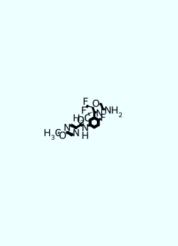 CC[C@@]1(c2cc(NC(=O)c3cnc(OC)cn3)ccc2F)N=C(N)CO[C@@H]1C(F)F